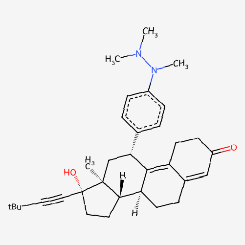 CN(C)N(C)c1ccc([C@H]2C[C@@]3(C)[C@@H](CC[C@@]3(O)C#CC(C)(C)C)[C@@H]3CCC4=CC(=O)CCC4=C32)cc1